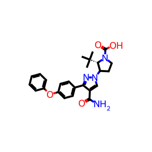 CC(C)(C)[C@H]1C(n2cc(C(N)=O)c(-c3ccc(Oc4ccccc4)cc3)n2)CCN1C(=O)O